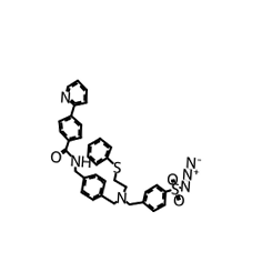 [N-]=[N+]=NS(=O)(=O)c1ccc(CN(CCSc2ccccc2)Cc2ccc(CNC(=O)c3ccc(-c4ccccn4)cc3)cc2)cc1